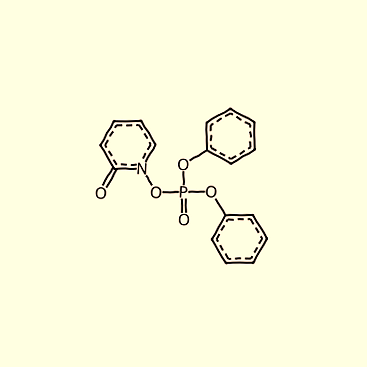 O=c1ccccn1OP(=O)(Oc1ccccc1)Oc1ccccc1